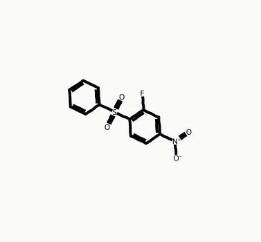 O=[N+]([O-])c1ccc(S(=O)(=O)c2ccccc2)c(F)c1